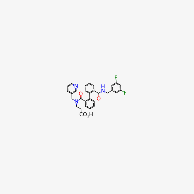 O=C(O)CCN(Cc1cccnc1)C(=O)c1ccccc1-c1ccccc1C(=O)NCc1cc(F)cc(F)c1